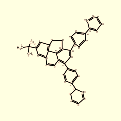 CC(C)(C)c1cc2c3c(ccc4c(-c5ccc(C6CC=CC=N6)cc5)cc(-c5ccc(-c6ccccn6)cc5)c(c43)CC2)c1